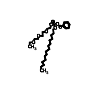 CCCCCCCCCCCCCCCCOP(=O)(OCCOCCOCCOCC)OOc1ccccc1